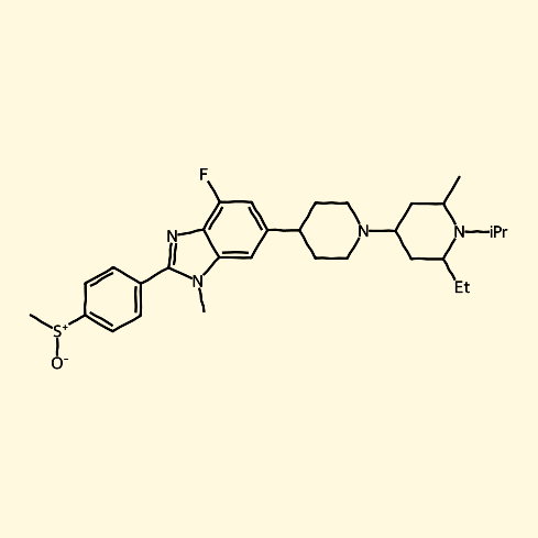 CCC1CC(N2CCC(c3cc(F)c4nc(-c5ccc([S+](C)[O-])cc5)n(C)c4c3)CC2)CC(C)N1C(C)C